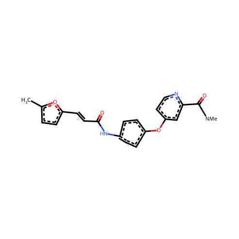 CNC(=O)c1cc(Oc2ccc(NC(=O)/C=C/c3ccc(C)o3)cc2)ccn1